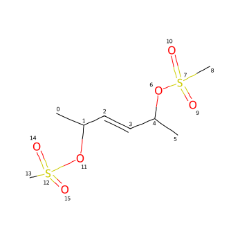 CC(/C=C/C(C)OS(C)(=O)=O)OS(C)(=O)=O